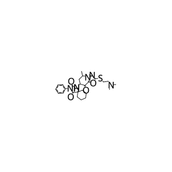 CC(C)CC(C(=O)c1nnc(SCCN(C)C)o1)N(C=O)C1(C(=O)Nc2ccccc2)CCCCC1